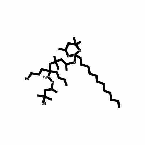 CCCCCCCCCCCC[Si]1(OC(C)CC(C)(C)OC(CCCC)(CCCS)[SiH2]OC(C)CC(C)(C)O)OC(C)CC(C)(C)O1